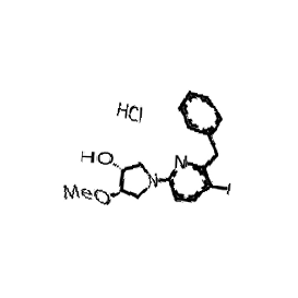 CO[C@@H]1CN(c2ccc(I)c(Cc3ccccc3)n2)C[C@H]1O.Cl